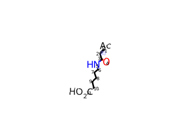 CC(=O)/C=C/C(=O)NCCCCCC(=O)O